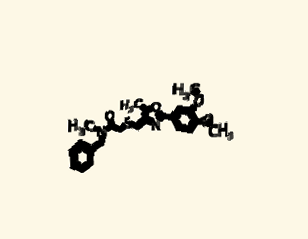 COc1ccc(-c2nc(CSCC(=O)N(C)Cc3ccccc3)c(C)o2)cc1OC